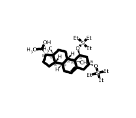 CC[Si](CC)(CC)O[C@@H]1CC2=CC[C@H]3[C@@H]4CC[C@H](C(C)O)[C@@]4(C)CC[C@@H]3[C@@]2(C)[C@@H](O[Si](CC)(CC)CC)C1